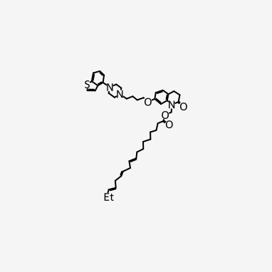 CCC=CCC=CCC=CCCCCCCCC(=O)OCN1C(=O)CCc2ccc(OCCCCN3CCN(c4cccc5sccc45)CC3)cc21